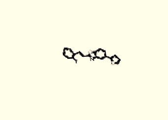 Fc1ccccc1/C=C/c1nc2cc(-c3ccco3)ccc2o1